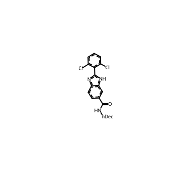 CCCCCCCCCCNC(=O)c1ccc2nc(-c3c(Cl)cccc3Cl)[nH]c2c1